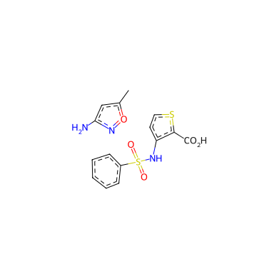 Cc1cc(N)no1.O=C(O)c1sccc1NS(=O)(=O)c1ccccc1